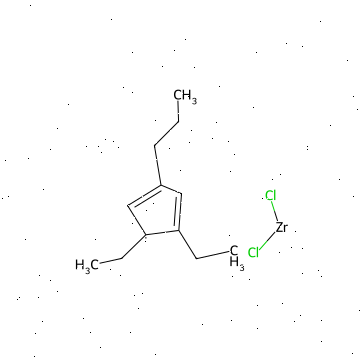 CCCC1=C[C](CC)C(CC)=C1.[Cl][Zr][Cl]